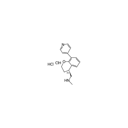 CNC[C@H]1CCOc2c(-c3ccncc3)cccc21.Cl.Cl